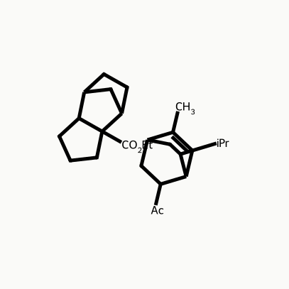 CC(=O)C1CC2CC(C(C)C)C1C=C2C.CCOC(=O)C12CCCC1C1CCC2C1